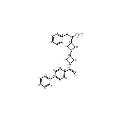 O=CN(Cc1ccccc1)C1CN(C2CN(C(=O)c3ccc(-c4ccccc4)cc3)C2)C1